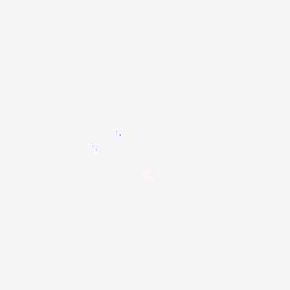 c1ccc(-c2cc(-c3cc4c(c5ccoc35)-c3ccccc3C43c4ccccc4Sc4ccccc43)nc(-c3ccccc3)n2)cc1